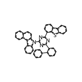 c1ccc(-c2ccccc2-c2nc(-c3cccc4c3sc3ccccc34)nc(-n3c4ccccc4c4c5ccccc5ccc43)n2)cc1